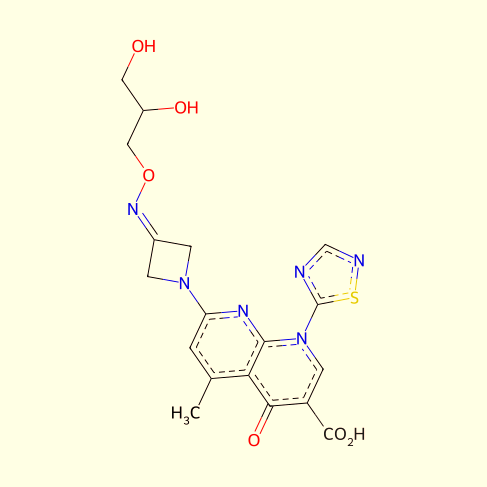 Cc1cc(N2CC(=NOCC(O)CO)C2)nc2c1c(=O)c(C(=O)O)cn2-c1ncns1